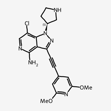 COc1cc(C#Cc2nn([C@H]3CCNC3)c3c(Cl)cnc(N)c23)cc(OC)n1